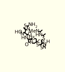 CNC(C)NC(C)SCc1nnsc1SC1(C(=O)O)CS[C@@H]2[C@H](NC(=O)C(=NO)c3csc(N)n3)C(=O)N2C1